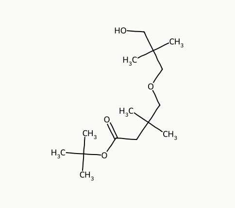 CC(C)(CO)COCC(C)(C)CC(=O)OC(C)(C)C